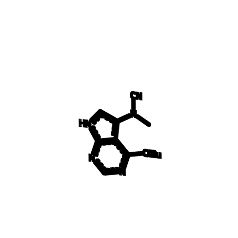 CC(C)COc1ncnc2[nH]cc(N(C)C#N)c12